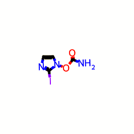 NC(=O)On1ccnc1I